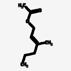 CCCC(C)=CCOC(C)=O